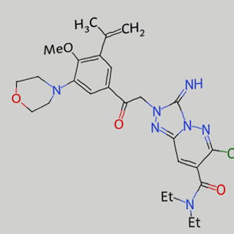 C=C(C)c1cc(C(=O)Cn2nc3cc(C(=O)N(CC)CC)c(Cl)nn3c2=N)cc(N2CCOCC2)c1OC